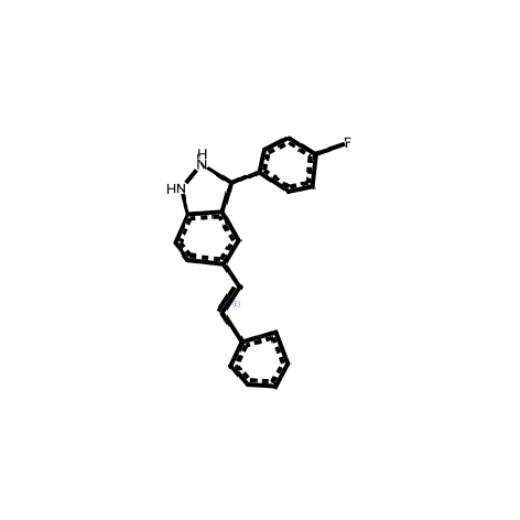 Fc1ccc(C2NNc3ccc(/C=C/c4ccccc4)cc32)cc1